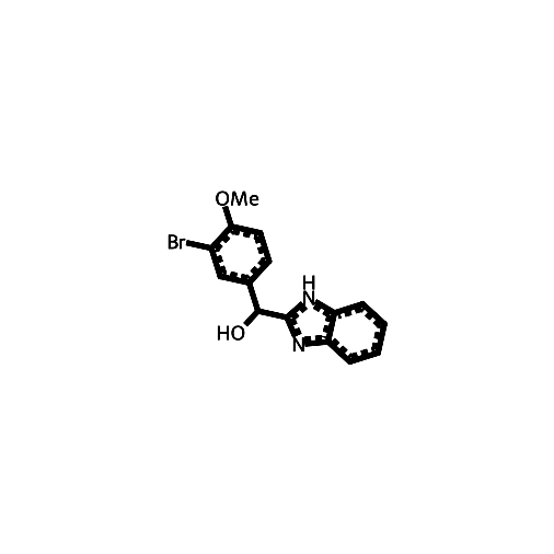 COc1ccc(C(O)c2nc3ccccc3[nH]2)cc1Br